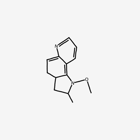 CON1C2=c3cccnc3=CCC2CC1C